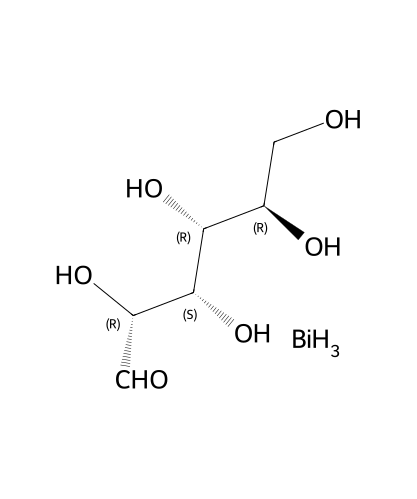 O=C[C@H](O)[C@@H](O)[C@H](O)[C@H](O)CO.[BiH3]